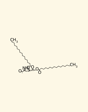 CCCCCCCCCCCCCCCC(=O)OC[C@@H](CSC[C@H](N)[C]=O)OC(=O)CCCCCCCCCCCCCCC